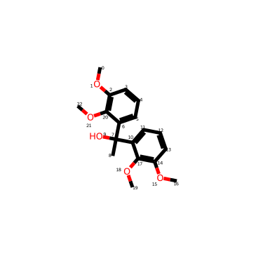 COc1cccc(C(C)(O)c2cccc(OC)c2OC)c1OC